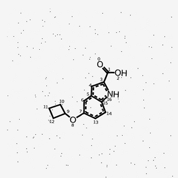 O=C(O)c1cc2cc(OC3CCC3)ccc2[nH]1